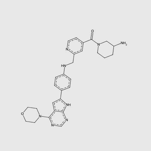 NC1CCCN(C(=O)c2ccnc(CNc3ccc(-c4cc5c(N6CCOCC6)ncnc5[nH]4)cc3)c2)C1